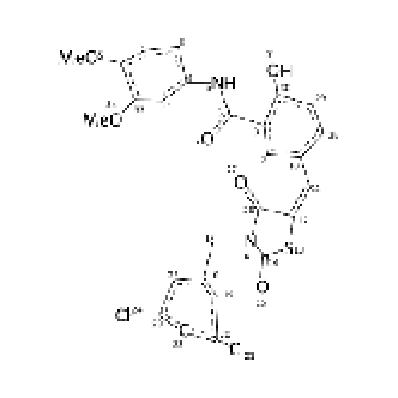 COc1ccc(NC(=O)c2cc(C=C3SC(=O)N(Cc4cc(Cl)cc(Cl)c4)C3=O)ccc2O)cc1OC